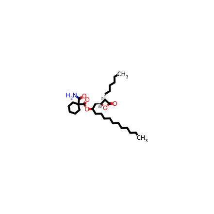 CCCCCCCCCCCC(C[C@@H]1OC(=O)[C@H]1CCCCCC)OC(=O)C1(C(N)=O)CCCCC1